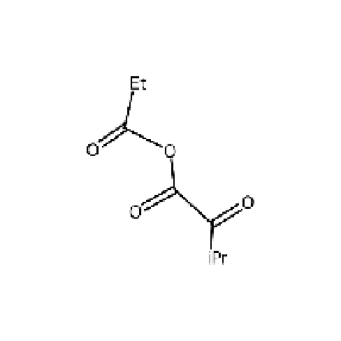 CCC(=O)OC(=O)C(=O)C(C)C